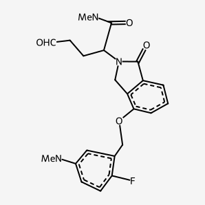 CNC(=O)C(CCC=O)N1Cc2c(OCc3cc(NC)ccc3F)cccc2C1=O